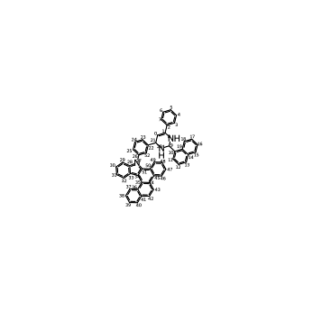 C1=C(c2ccccc2)NC(c2cccc3ccccc23)NC1c1cccc(-n2c3ccccc3c3c4c5ccccc5ccc4c4ccccc4c32)c1